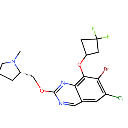 CN1CCC[C@H]1COc1ncc2cc(Cl)c(Br)c(OC3CC(F)(F)C3)c2n1